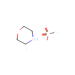 C1COCCN1.CCS(=O)(=O)[O-].[K+]